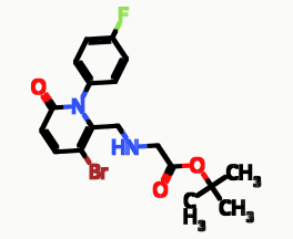 CC(C)(C)OC(=O)CNCc1c(Br)ccc(=O)n1-c1ccc(F)cc1